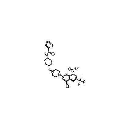 O=C(OC1CCC(CN2CCN(c3cc(=O)c4cc(C(F)(F)F)cc([N+](=O)[O-])c4s3)CC2)CC1)c1ccco1